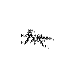 CCCCNc1nc(NC(C)CCNc2nc(N)nc(C)c2CCCCN)nc(C)c1CCCCCN